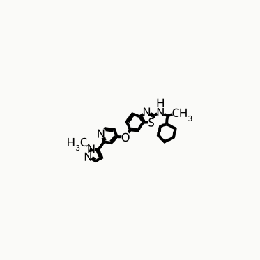 CC(Nc1nc2ccc(Oc3ccnc(-c4ccnn4C)c3)cc2s1)C1CCCCC1